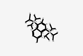 Cc1ccc2c([Si](C(C)C)(C(C)C)C(C)C)c(C)cc([Si](C(C)C)(C(C)C)C(C)C)c2c1